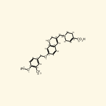 CC(C)Oc1ccc(COc2ccc3c(c2)OCC(CN2CC=C(C(=O)O)CC2)=C3)cc1C(F)(F)F